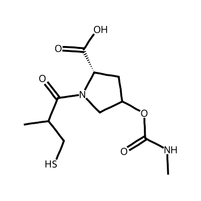 CNC(=O)OC1C[C@@H](C(=O)O)N(C(=O)C(C)CS)C1